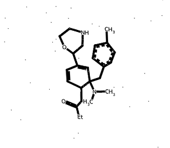 CCC(=O)CC1C=CC(C2CNCCO2)=CC1(Cc1ccc(C)cc1)N(C)C